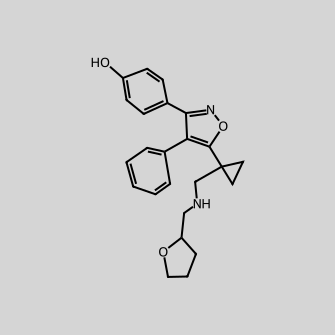 Oc1ccc(-c2noc(C3(CNCC4CCCO4)CC3)c2-c2ccccc2)cc1